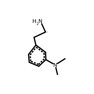 CN(C)c1cccc(C[CH]N)c1